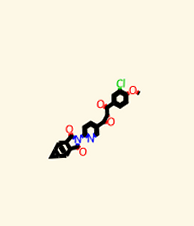 COc1ccc(C(=O)C2OC2c2ccc(N3C(=O)C4C5C=CC(C6CC56)C4C3=O)nc2)cc1Cl